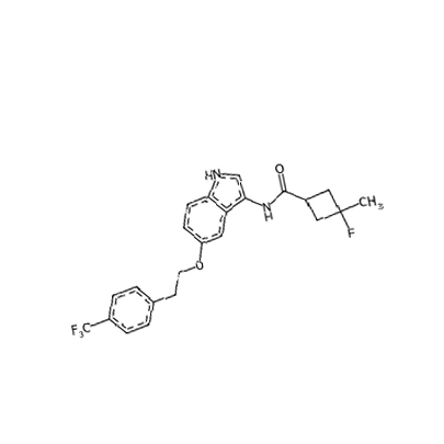 CC1(F)CC(C(=O)Nc2c[nH]c3ccc(OCCc4ccc(C(F)(F)F)cc4)cc23)C1